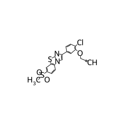 C#CCOc1cc(-c2cn3c(n2)sc2cc(S(C)(=O)=O)ccc23)ccc1Cl